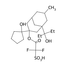 CCC(O)(CC)C12CC(C)CC(C1)CC(OC(=O)C(F)(F)S(=O)(=O)O)(C1(O)CCCC1)C2